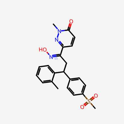 Cc1ccccc1C(C/C(=N/O)c1ccc(=O)n(C)n1)c1ccc(S(C)(=O)=O)cc1